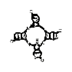 O=C1SC2C=CC1C1=C2c2cc3[nH]c(nc4nc(nc5[nH]c(cc1n2)c1c5C2C=CC1SC2=O)C1=C4C2C=CC1SC2=O)c1c3C2C=CC1SC2=O